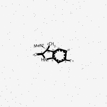 CN[C@@]1(C)C(=O)Nc2cc(F)ccc21